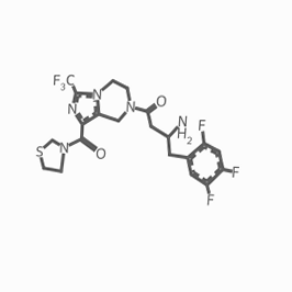 NC(CC(=O)N1CCn2c(C(F)(F)F)nc(C(=O)N3CCSC3)c2C1)Cc1cc(F)c(F)cc1F